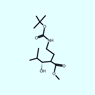 COC(=O)C(CCNC(=O)OC(C)(C)C)[C@H](O)C(C)C